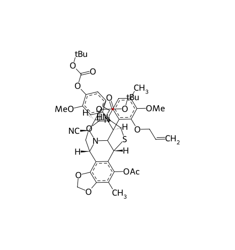 C=CCOc1c(OC)c(C)cc2c1[C@H]1C3[C@@H]4SC[C@]5(NCCc6cc(OC(=O)OC(C)(C)C)c(OC)cc65)C(=O)OC[C@@H](c5c6c(c(C)c(OC(C)=O)c54)OCO6)N3[C@@H](C#N)[C@@H](C2)N1C(=O)OC(C)(C)C